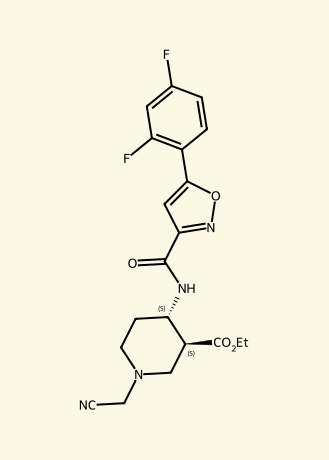 CCOC(=O)[C@H]1CN(CC#N)CC[C@@H]1NC(=O)c1cc(-c2ccc(F)cc2F)on1